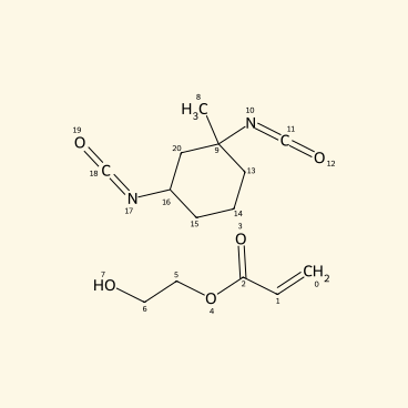 C=CC(=O)OCCO.CC1(N=C=O)CCCC(N=C=O)C1